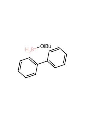 BOCC(C)C.c1ccc(-c2ccccc2)cc1